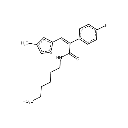 Cc1csc(C=C(C(=O)NCCCCCC(=O)O)c2ccc(F)cc2)c1